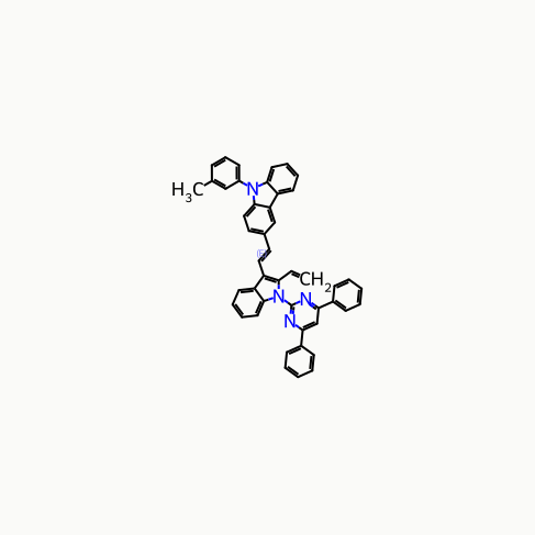 C=Cc1c(/C=C/c2ccc3c(c2)c2ccccc2n3-c2cccc(C)c2)c2ccccc2n1-c1nc(-c2ccccc2)cc(-c2ccccc2)n1